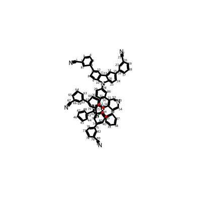 N#Cc1cccc(-c2ccc3c(c2)c2cc(-c4cccc(C#N)c4)ccc2n3-c2ccc(-c3nc(-c4ccccc4)nc(-c4ccccc4)n3)c(-c3cnccc3-n3c4ccc(-c5cccc(C#N)c5)cc4c4cc(-c5cccc(C#N)c5)ccc43)c2)c1